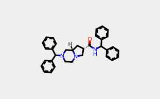 O=C(NC(c1ccccc1)c1ccccc1)[C@H]1C[C@H]2CN(C(c3ccccc3)c3ccccc3)CCN2C1